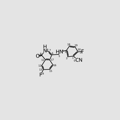 N#Cc1cc(NCc2c[nH]c(=O)c3cc(F)ccc23)ccc1F